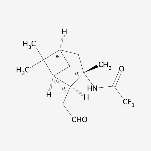 CC1(C)[C@@H]2C[C@H]1[C@H](CC=O)[C@@](C)(NC(=O)C(F)(F)F)C2